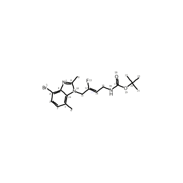 Cc1ccc(Br)c2nc(C)n(C/C(F)=C/CNC(=O)OC(C)(C)C)c12